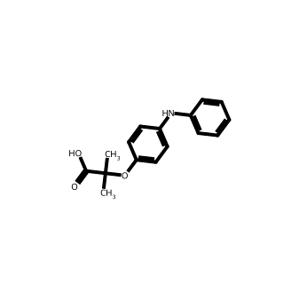 CC(C)(Oc1ccc(Nc2ccccc2)cc1)C(=O)O